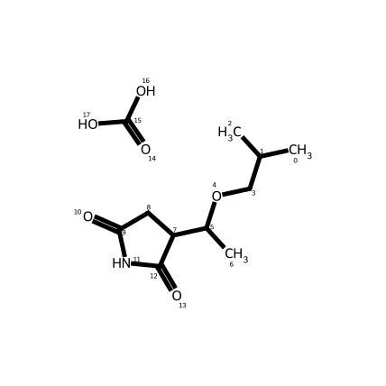 CC(C)COC(C)C1CC(=O)NC1=O.O=C(O)O